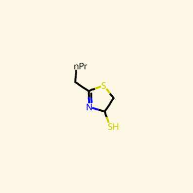 CCCCC1=NC(S)CS1